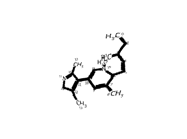 CCC(C)/C=C\C1C(C)=CC(C2=C(C)CN=C2C)=CN1C